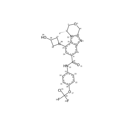 C[C@@H]1COCc2nc3cc(C(=O)Nc4ccc(OC(F)(F)Cl)cc4)cc(N4CC(O)C4)c3n21